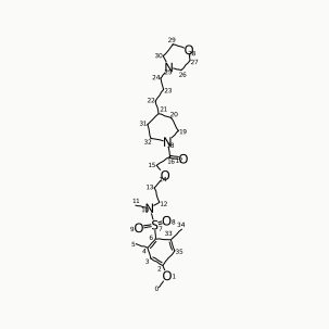 COc1cc(C)c(S(=O)(=O)N(C)CCOCC(=O)N2CCC(CCCN3CCOCC3)CC2)c(C)c1